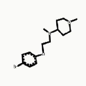 CN1CCC(N(C)CCOc2ccc(Br)cc2)CC1